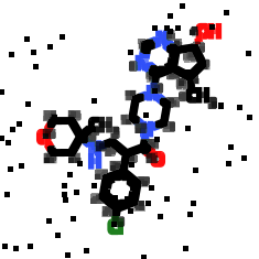 C[C@@H]1C[C@@H](O)c2ncnc(N3CCN(C(=O)C(CNC4(C)CCOCC4)c4ccc(Cl)cc4)CC3)c21